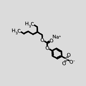 CCCCC(CC)COC(=O)Oc1ccc(S(=O)(=O)[O-])cc1.[Na+]